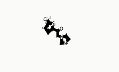 O=C(Cn1ccnc1)c1ccc(Cl)s1